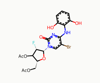 CC(=O)OC[C@H]1O[C@@H](n2cc(Br)c(Nc3c(O)cccc3O)nc2=O)[C@@H](F)C1OC(C)=O